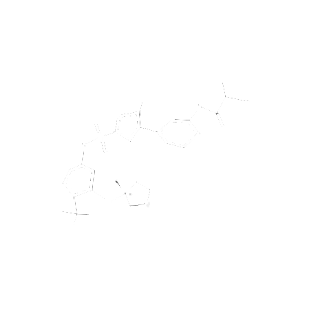 CC(C)C(=O)Nc1cccc(-c2cc(S(=O)(=O)Nc3ccc(C(F)(F)F)c(O[C@]4(C)CCNC4)c3)sc2Cl)c1